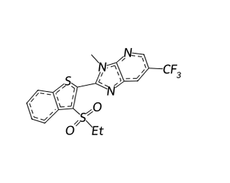 CCS(=O)(=O)c1c(-c2nc3cc(C(F)(F)F)cnc3n2C)sc2ccccc12